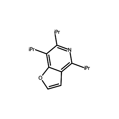 CC(C)c1nc(C(C)C)c2ccoc2c1C(C)C